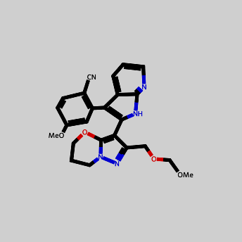 COCOCc1nn2c(c1-c1[nH]c3ncccc3c1-c1cc(OC)ccc1C#N)OCCC2